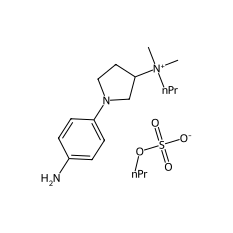 CCCOS(=O)(=O)[O-].CCC[N+](C)(C)C1CCN(c2ccc(N)cc2)C1